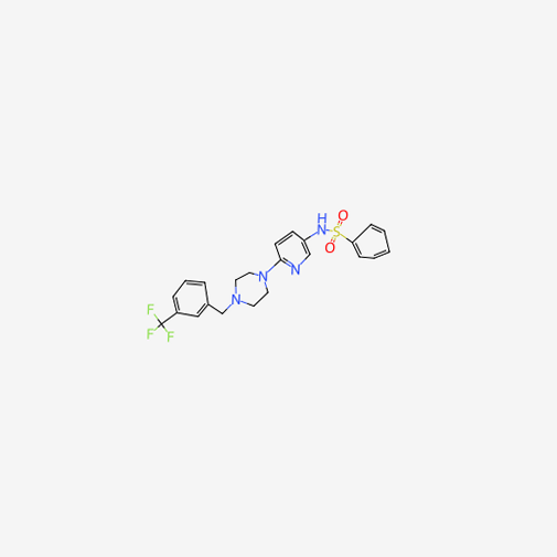 O=S(=O)(Nc1ccc(N2CCN(Cc3cccc(C(F)(F)F)c3)CC2)nc1)c1ccccc1